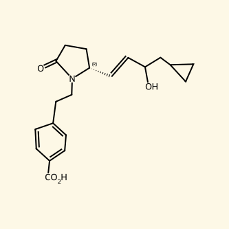 O=C(O)c1ccc(CCN2C(=O)CC[C@@H]2C=CC(O)CC2CC2)cc1